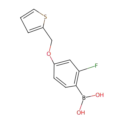 OB(O)c1ccc(OCc2cccs2)cc1F